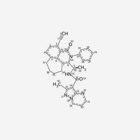 C#Cc1ccc2c3c(c([C@@H](C)NC(=O)c4c(C)nn5cccnc45)n(-c4ccccc4)c(=O)c13)CCCC2